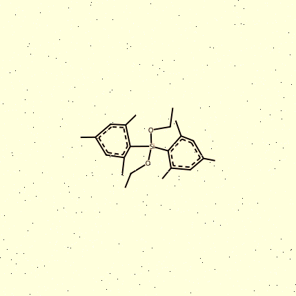 CCO[Si](OCC)(c1c(C)cc(C)cc1C)c1c(C)cc(C)cc1C